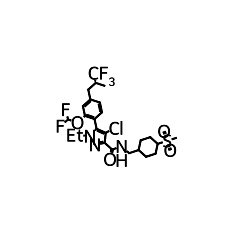 CCn1nc(C(=O)NCC2CCC(S(C)(=O)=O)CC2)c(Cl)c1-c1ccc(C[C@H](C)C(F)(F)F)cc1OC(F)F